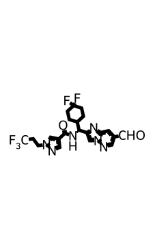 O=Cc1cnn2cc([C@@H](NC(=O)c3cnn(CCC(F)(F)F)c3)C3CCC(F)(F)CC3)nc2c1